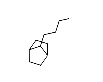 BrCCCC1C2CCC1CC2